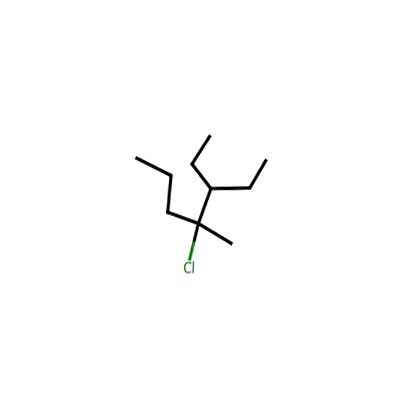 CCCC(C)(Cl)C(CC)CC